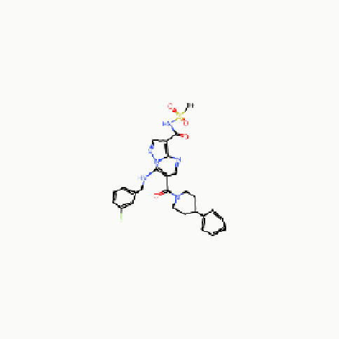 CCS(=O)(=O)NC(=O)c1cnn2c(NCc3cccc(F)c3)c(C(=O)N3CCC(c4ccccc4)CC3)cnc12